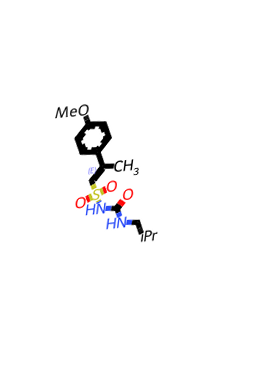 COc1ccc(/C(C)=C/S(=O)(=O)NC(=O)NCC(C)C)cc1